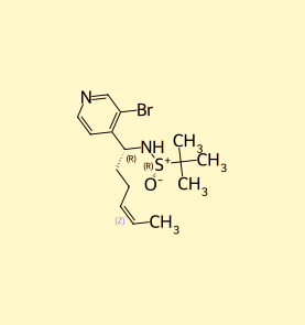 C/C=C\CC[C@@H](N[S@@+]([O-])C(C)(C)C)c1ccncc1Br